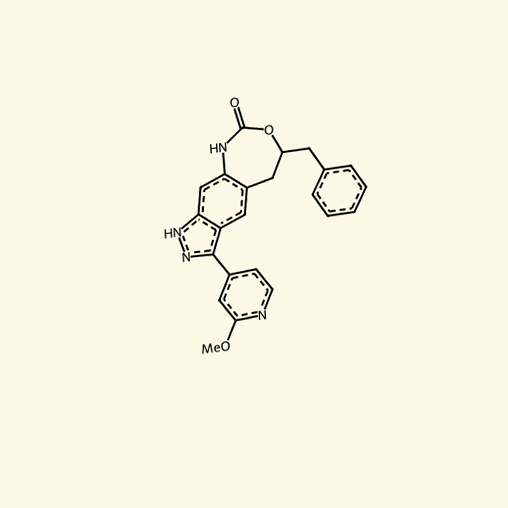 COc1cc(-c2n[nH]c3cc4c(cc23)CC(Cc2ccccc2)OC(=O)N4)ccn1